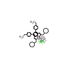 CCc1ccc(-c2cccc3c2C=C(CC2CCCCCC2)[CH]3[Zr]([CH3])([CH3])(=[SiH2])[CH]2C(CC3CCCCCC3)=Cc3c(-c4ccc(CC)cc4)cccc32)cc1.Cl.Cl